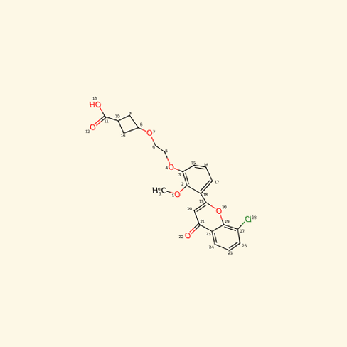 COc1c(OCCOC2CC(C(=O)O)C2)cccc1-c1cc(=O)c2cccc(Cl)c2o1